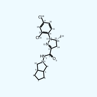 O=C(NN1CC2CCCC2C1)C1=NN(c2ccc(Cl)cc2Cl)[C@H](I)C1